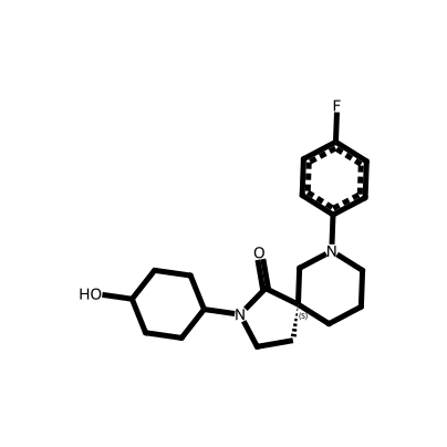 O=C1N(C2CCC(O)CC2)CC[C@]12CCCN(c1ccc(F)cc1)C2